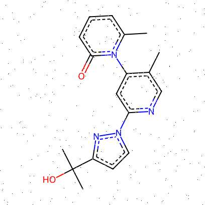 Cc1cnc(-n2ccc(C(C)(C)O)n2)cc1-n1c(C)cccc1=O